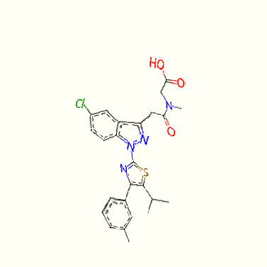 Cc1cccc(-c2nc(-n3nc(CC(=O)N(C)CC(=O)O)c4cc(Cl)ccc43)sc2C(C)C)c1